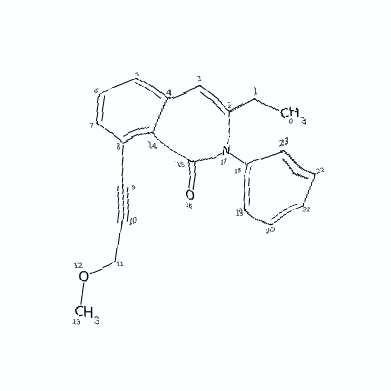 CCc1cc2cccc(C#CCOC)c2c(=O)n1-c1ccccc1